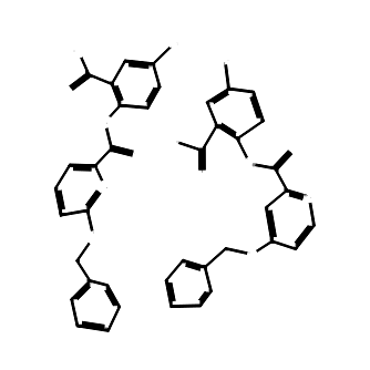 O=C(Nc1ccc(Br)cc1C(=O)O)c1cc(SCc2ccccc2)ccn1.O=C(Nc1ccc(Br)cc1C(=O)O)c1cccc(SCc2ccccc2)n1